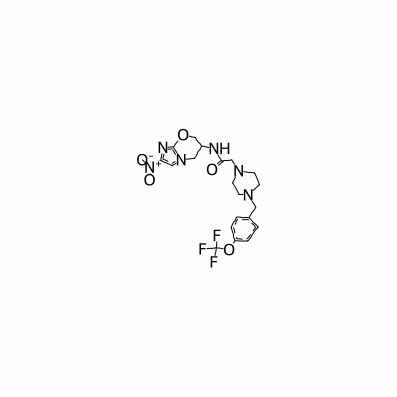 O=C(CN1CCN(Cc2ccc(OC(F)(F)F)cc2)CC1)NC1COc2nc([N+](=O)[O-])cn2C1